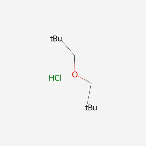 CC(C)(C)COCC(C)(C)C.Cl